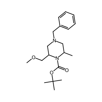 COCC1CN(Cc2ccccc2)CC(C)N1C(=O)OC(C)(C)C